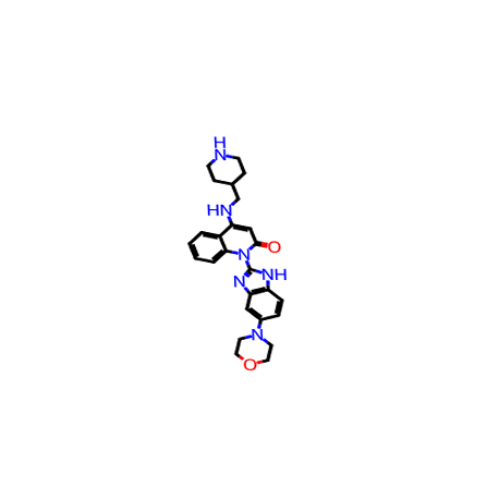 O=c1cc(NCC2CCNCC2)c2ccccc2n1-c1nc2cc(N3CCOCC3)ccc2[nH]1